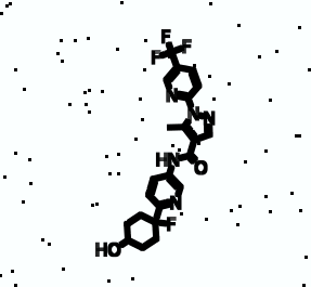 Cc1c(C(=O)Nc2ccc(C3(F)CCC(O)CC3)nc2)cnn1-c1ccc(C(F)(F)F)cn1